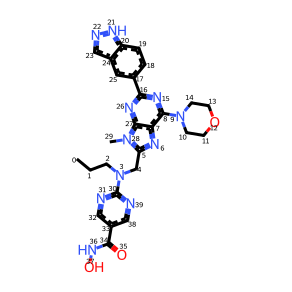 CCCN(Cc1nc2c(N3CCOCC3)nc(-c3ccc4[nH]ncc4c3)nc2n1C)c1ncc(C(=O)NO)cn1